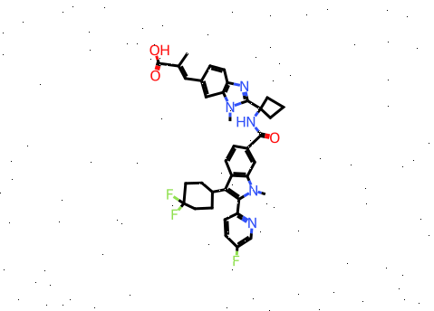 C/C(=C\c1ccc2nc(C3(NC(=O)c4ccc5c(C6CCC(F)(F)CC6)c(-c6ccc(F)cn6)n(C)c5c4)CCC3)n(C)c2c1)C(=O)O